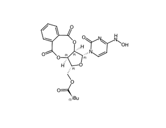 CC[C@H](C)C(=O)OC[C@H]1O[C@@H](n2ccc(NO)nc2=O)[C@@H]2OC(=O)c3ccccc3C(=O)O[C@@H]21